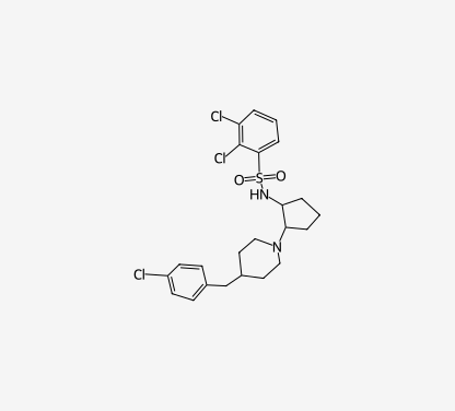 O=S(=O)(NC1CCCC1N1CCC(Cc2ccc(Cl)cc2)CC1)c1cccc(Cl)c1Cl